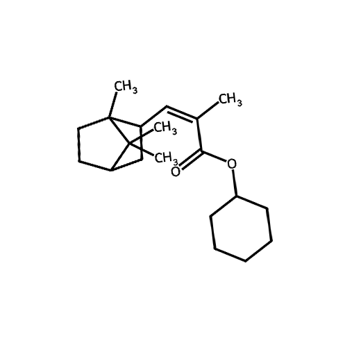 CC(=CC1CC2CCC1(C)C2(C)C)C(=O)OC1CCCCC1